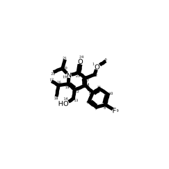 COCc1c(-c2ccc(F)cc2)c(CO)c(C(C)C)n(C(C)C)c1=O